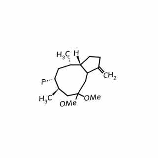 C=C1CC[C@@H]2C1CC(OC)(OC)C[C@@H](C)[C@H](F)C[C@@H]2C